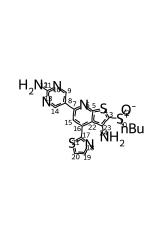 CCCC[S+]([O-])c1sc2nc(-c3cnc(N)nc3)cc(-c3nccs3)c2c1N